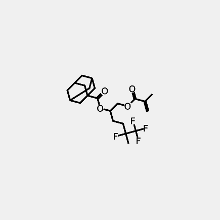 C=C(C)C(=O)OCC(CCC(C)(F)C(F)(F)F)OC(=O)C12CC3CC(CC(C3)C1)C2